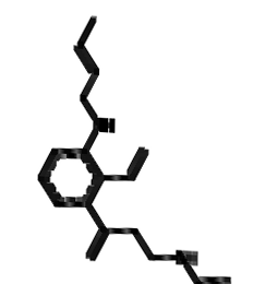 C=CNCCC(=C)c1cccc(NC/C=C/C)c1C=C